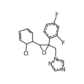 Fc1ccc(C2(Cn3cncn3)OC2C2C=CC=CC2Cl)c(F)c1